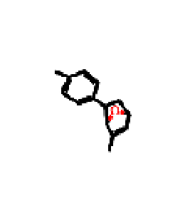 CC1=CC2CC(c3ccc(C)cc3)C1O2